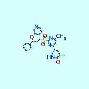 Cc1cc(-c2c[nH]c(=O)c(F)c2)nc(S(=O)(=O)CCC(Oc2cccnc2)c2ccccc2)n1